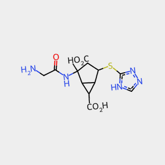 NCC(=O)NC1(C(=O)O)CC(Sc2nnc[nH]2)C2C(C(=O)O)C21